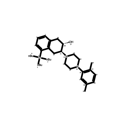 CCC[CH2][Sn]([CH2]CCC)([CH2]CCC)[c]1cccc2c1C[C@H](N1CCN(c3cc(C)ccc3C)CC1)[C@@H](O)C2